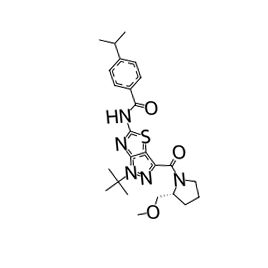 COC[C@H]1CCCN1C(=O)c1nn(C(C)(C)C)c2nc(NC(=O)c3ccc(C(C)C)cc3)sc12